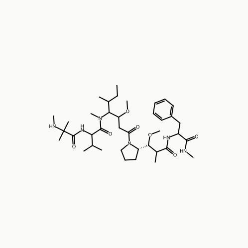 CCC(C)C(C(CC(=O)N1CCC[C@H]1C(OC)C(C)C(=O)NC(Cc1ccccc1)C(=O)NC)OC)N(C)C(=O)C(NC(=O)C(C)(C)NC)C(C)C